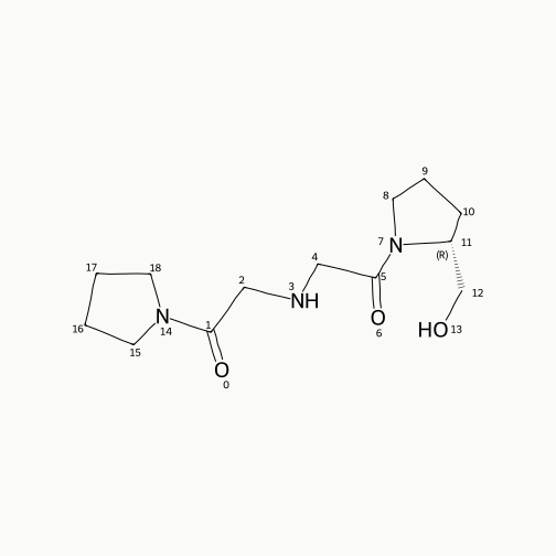 O=C(CNCC(=O)N1CCC[C@@H]1CO)N1CCCC1